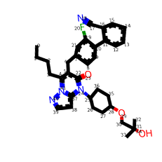 CCCCc1c(Cc2ccc(-c3ccccc3C#N)c(F)c2)c(=O)n(C2CCC(OCC(C)(C)O)CC2)c2ccnn12